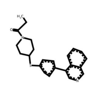 CCC(=O)N1CCC(Sc2ccc(-c3cncc4ccccc34)cc2)CC1